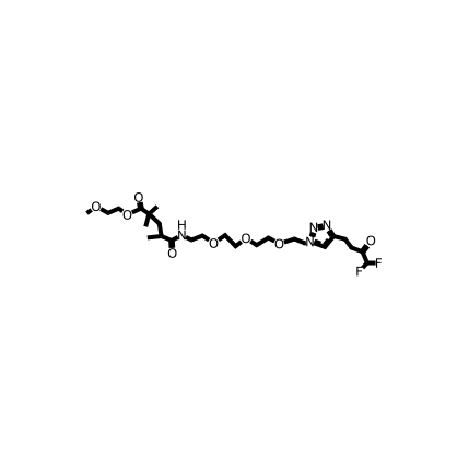 COCCOC(=O)C(C)(C)CC(C)C(=O)NCCOCCOCCOCCn1cc(CCC(=O)C(F)F)nn1